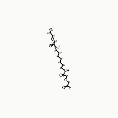 CC(=O)COCC(=O)NCCCCCCCNC(=O)COCC=O